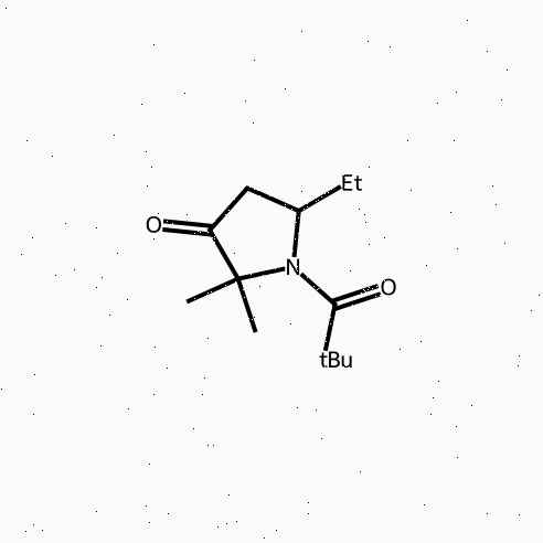 CCC1CC(=O)C(C)(C)N1C(=O)C(C)(C)C